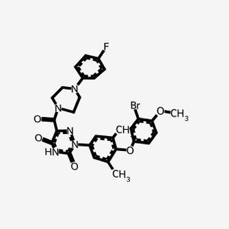 COc1ccc(Oc2c(C)cc(-n3nc(C(=O)N4CCN(c5ccc(F)cc5)CC4)c(=O)[nH]c3=O)cc2C)cc1Br